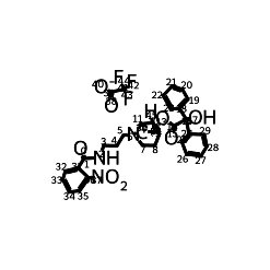 O=C(NCCC[N+]12CCC(CC1)[C@@H](OC(=O)C(O)(c1ccccc1)c1ccccc1)C2)c1ccccc1[N+](=O)[O-].O=C([O-])C(F)(F)F